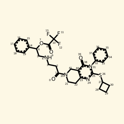 O=C(CCNCC(OC(=O)C(F)(F)F)c1ccccc1)N1CCc2nc(SC3CCC3)n(-c3ccccc3)c(=O)c2C1